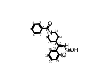 O=C(c1ccccc1)N1CCC(C(=C[SiH](O)O)c2ccccc2)CC1